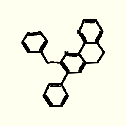 c1ccc(Cc2nc3c(cc2-c2ccccc2)CCc2cccnc2-3)cc1